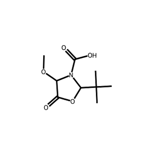 COC1C(=O)OC(C(C)(C)C)N1C(=O)O